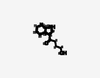 O=C(CCCO)c1c[nH]c2ncccc12